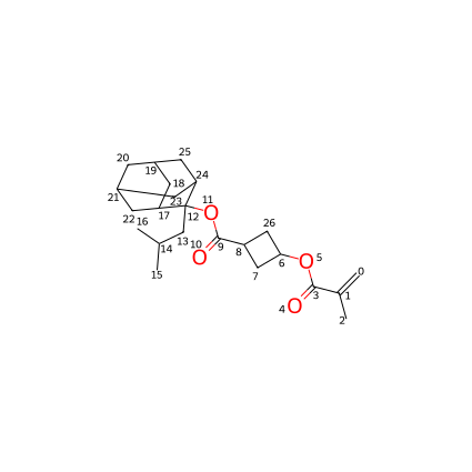 C=C(C)C(=O)OC1CC(C(=O)OC2(CC(C)C)C3CC4CC(C3)CC2C4)C1